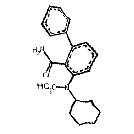 NC(=O)c1c(-c2ccccc2)cccc1N(C(=O)O)C1CCCCC1